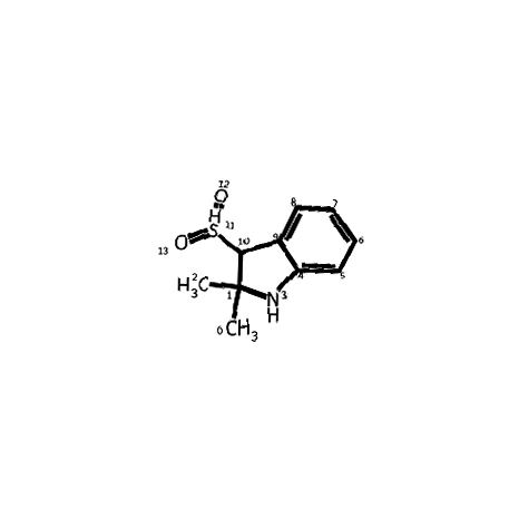 CC1(C)Nc2ccccc2C1[SH](=O)=O